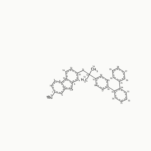 CC(C)(C)c1ccc2c(c1)sc1cc(CC(C)(C)c3ccc(-c4ccccc4-c4ccccc4)cc3)ccc12